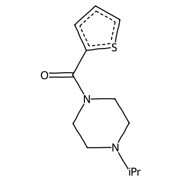 CC(C)N1CCN(C(=O)c2cccs2)CC1